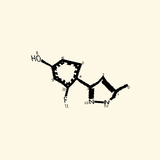 CC1=CC(c2ccc(O)cc2F)=N[N]1